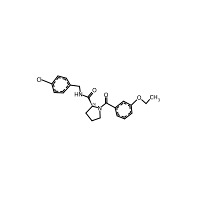 CCOc1cccc(C(=O)N2CCC[C@H]2C(=O)NCc2ccc(Cl)cc2)c1